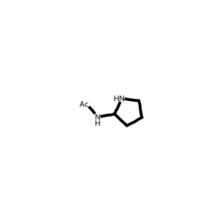 CC(=O)NC1CCCN1